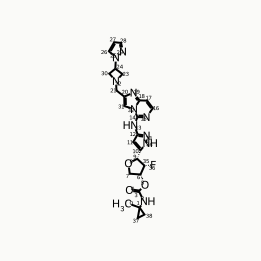 CC1(NC(=O)O[C@@H]2CO[C@H](c3cc(Nc4nccc5nc(CN6CC(n7cccn7)C6)cn45)n[nH]3)[C@@H]2F)CC1